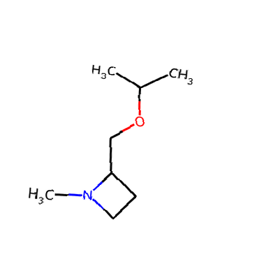 CC(C)OCC1CCN1C